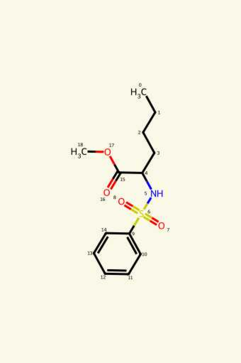 CCCCC(NS(=O)(=O)c1ccccc1)C(=O)OC